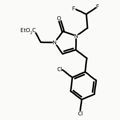 CCOC(=O)Cn1cc(Cc2ccc(Cl)cc2Cl)n(CC(F)F)c1=O